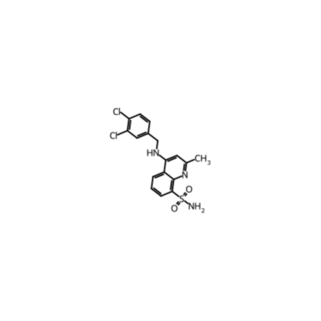 Cc1cc(NCc2ccc(Cl)c(Cl)c2)c2cccc(S(N)(=O)=O)c2n1